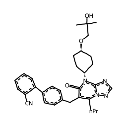 CCCc1c(Cc2ccc(-c3ccccc3C#N)cc2)c(=O)n([C@H]2CC[C@H](OCC(C)(C)O)CC2)c2ncnn12